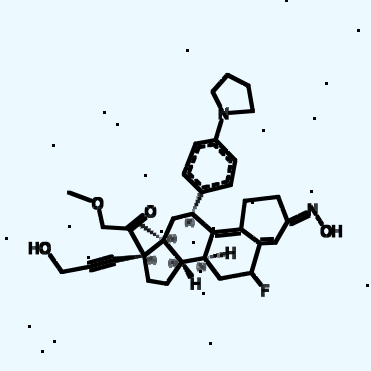 COCC(=O)[C@@]1(C#CCO)CC[C@H]2[C@@H]3CC(F)C4=CC(=NO)CCC4=C3[C@@H](c3ccc(N4CCCC4)cc3)C[C@@]21C